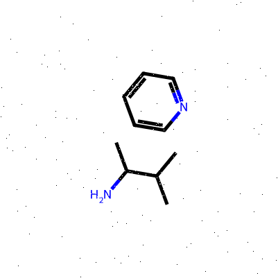 CC(C)C(C)N.c1ccncc1